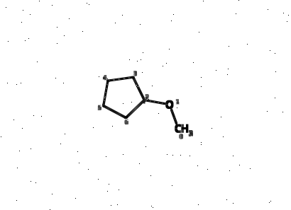 CO[C]1CCCC1